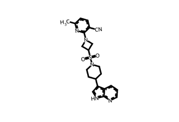 Cc1ccc(C#N)c(N2CC(S(=O)(=O)N3CCC(c4c[nH]c5ncccc45)CC3)C2)n1